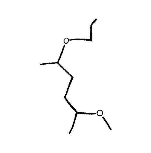 CCOC(C)CCC(C)OC